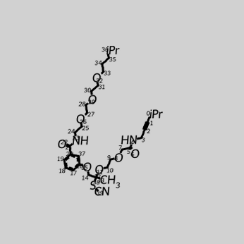 CC(C)C#CCNC(=O)COCCOC(C)(COc1cccc(C(=O)NCCOCCOCCOCCCC(C)C)c1)SC#N